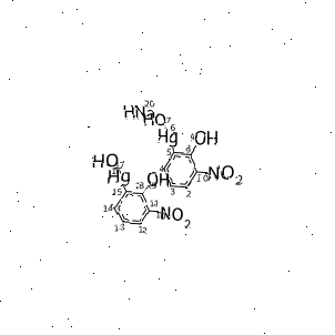 O=[N+]([O-])c1ccc[c]([Hg][OH])c1O.O=[N+]([O-])c1ccc[c]([Hg][OH])c1O.[NaH]